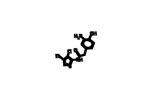 CCc1nsc(NC(=O)Cc2ccc(O)c(N)c2)c1Cl